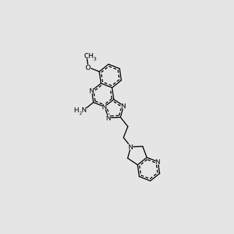 COc1cccc2c1nc(N)n1nc(CCN3Cc4cccnc4C3)nc21